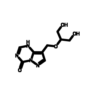 O=c1nc[nH]c2c(COC(CO)CO)cnn12